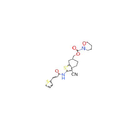 N#Cc1c(NC(=O)C=Cc2cccs2)sc2c1CCC(COC(=O)N1CCCCO1)C2